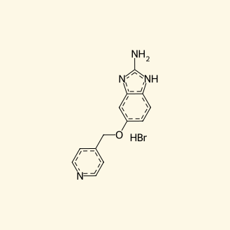 Br.Nc1nc2cc(OCc3ccncc3)ccc2[nH]1